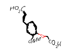 COc1cc(C=CC(=O)O)ccc1OCC(=O)O